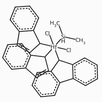 C[SiH](C)[Hf]([Cl])([Cl])([CH]1C=Cc2ccccc21)([CH]1C=Cc2ccccc21)[CH]1c2ccccc2-c2ccccc21